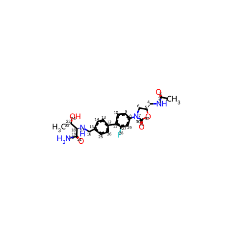 CC(=O)NC[C@H]1CN(c2ccc(-c3ccc(CN[C@H](C(N)=O)[C@H](C)O)cc3)c(F)c2)C(=O)O1